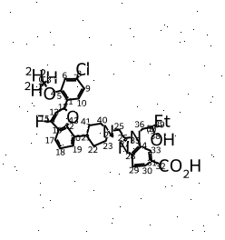 [2H]C([2H])([2H])Oc1cc(Cl)ccc1C1C=C(F)c2cccc(C3CCN(Cc4nc5ccc(C(=O)O)cc5n4C[C@@H](O)CC)CC3)c2O1